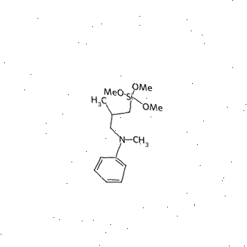 CO[Si](CC(C)CN(C)c1ccccc1)(OC)OC